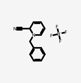 F[B-](F)(F)F.N#CC1C=CC=CN1Cc1ccccc1